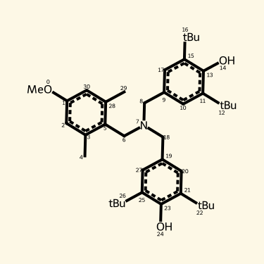 COc1cc(C)c(CN(Cc2cc(C(C)(C)C)c(O)c(C(C)(C)C)c2)Cc2cc(C(C)(C)C)c(O)c(C(C)(C)C)c2)c(C)c1